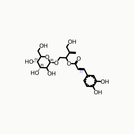 C=C(CO)C(CO[C@@H]1OC(CO)[C@@H](O)[C@@H](O)C1O)OC(=O)/C=C/c1ccc(O)c(O)c1